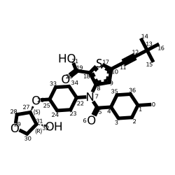 CC1CCC(C(=O)N(c2cc(C#CC(C)(C)C)sc2C(=O)O)C2CCC(O[C@H]3COC[C@H]3O)CC2)CC1